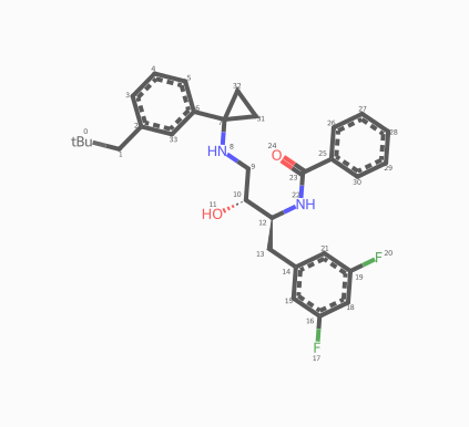 CC(C)(C)Cc1cccc(C2(NC[C@@H](O)[C@H](Cc3cc(F)cc(F)c3)NC(=O)c3ccccc3)CC2)c1